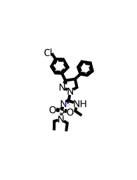 CCN/C(=N\S(=O)(=O)N(CC)CC)N1CC(c2ccccc2)C(c2ccc(Cl)cc2)=N1